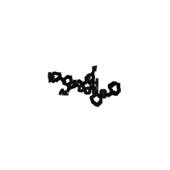 CC(=O)c1cn(CC(=O)N2C[C@H](F)C[C@H]2C(=O)N[C@H]2CCCC[C@@H]2OCc2ccccc2)c2ccc(-c3ccnnc3)cc12